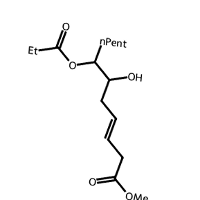 CCCCCC(OC(=O)CC)C(O)C/C=C/CC(=O)OC